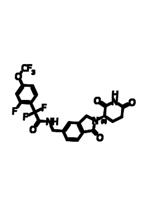 O=C1CC[C@@H](N2Cc3cc(CNC(=O)C(F)(F)c4ccc(OC(F)(F)F)cc4F)ccc3C2=O)C(=O)N1